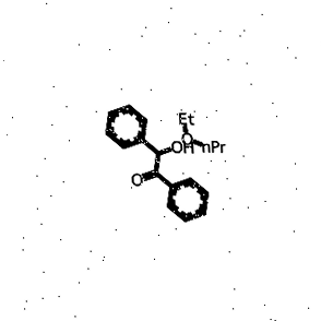 CCCOCC.O=C(c1ccccc1)C(O)c1ccccc1